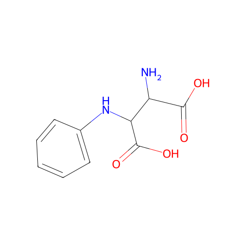 NC(C(=O)O)C(Nc1ccccc1)C(=O)O